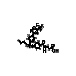 CCCCC(Nc1ccc(C(=O)NCCC(=O)O)cc1)c1ccc(-c2noc(C(F)(F)F)n2)cc1